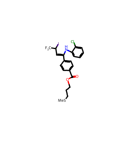 CSCCCOC(=O)c1ccc(/C(=C/C(I)C(F)(F)F)Nc2ccccc2Cl)cc1